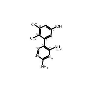 Nc1nnc(-c2cc(O)cc(Cl)c2Cl)c(N)n1